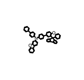 c1ccc(-c2ccc(N(c3ccc(-c4ccc5c(c4)C4(c6ccccc6O5)c5ccccc5-c5ccccc54)cc3)c3ccc4c(c3)oc3ccccc34)cc2)cc1